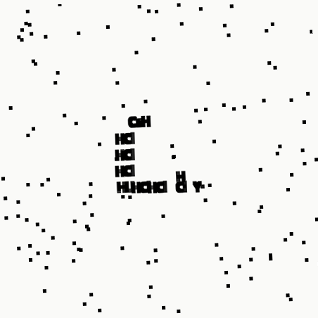 Cl.Cl.Cl.Cl.Cl.Cl.[CsH].[LiH].[Y]